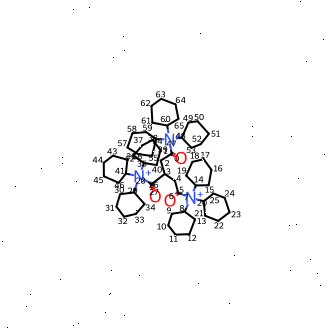 O=C(CC(CC(=O)[N+](C1CCCCC1)(C1CCCCC1)C1CCCCC1)C(=O)[N+](C1CCCCC1)(C1CCCCC1)C1CCCCC1)[N+](C1CCCCC1)(C1CCCCC1)C1CCCCC1